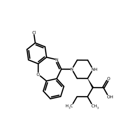 CCC(C)C(C(=O)O)[C@H]1CN(C2=Nc3cc(Cl)ccc3Oc3ccccc32)CCN1